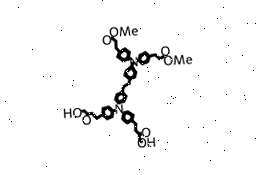 COC(=O)CCc1ccc(N(c2ccc(CCC(=O)OC)cc2)c2ccc(CCc3ccc(N(c4ccc(CCC(=O)CO)cc4)c4ccc(CCC(=O)CO)cc4)cc3)cc2)cc1